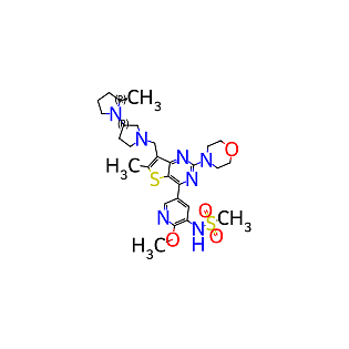 COc1ncc(-c2nc(N3CCOCC3)nc3c(CN4CC[C@@H](N5CCC[C@H]5C)C4)c(C)sc23)cc1NS(C)(=O)=O